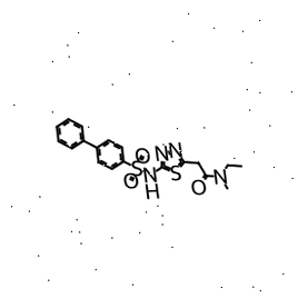 CCN(C)C(=O)Cc1nnc(NS(=O)(=O)c2ccc(-c3ccccc3)cc2)s1